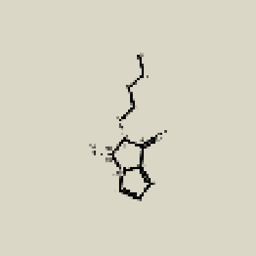 CCCCC[C@@H]1C(=O)c2cccn2[C@@H]1C